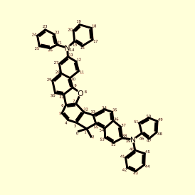 CC1(C)c2ccc3c(oc4c5ccc(N(c6ccccc6)c6ccccc6)cc5ccc34)c2-c2ccc3cc(N(c4ccccc4)c4ccccc4)ccc3c21